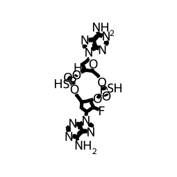 Nc1ncnc2c1ncn2C1CC2COP(=O)(S)O[C@@H]3C[C@H](n4cnc5c(N)ncnc54)OC3COP(=O)(S)OC2C1F